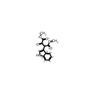 COC(=O)C(=O)C(C(=O)OC)c1c[nH]c2ccccc12